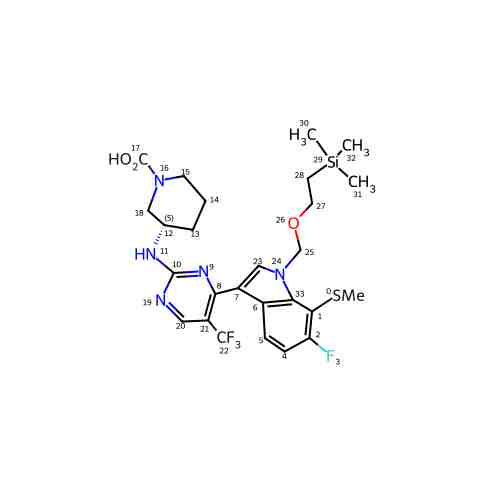 CSc1c(F)ccc2c(-c3nc(N[C@H]4CCCN(C(=O)O)C4)ncc3C(F)(F)F)cn(COCC[Si](C)(C)C)c12